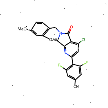 COc1ccc(CN2Cc3nc(-c4c(F)cc(C#N)cc4F)cc(Cl)c3C2=O)c(OC)c1